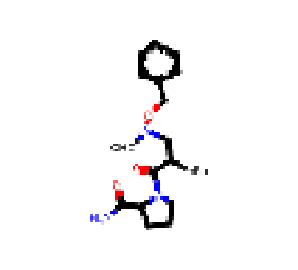 CCCCC(CN(C=O)OCc1ccccc1)C(=O)N1CCCC1C(N)=O